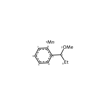 CCC(OC)c1ccccc1.[Mn]